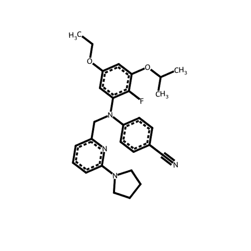 CCOc1cc(OC(C)C)c(F)c(N(Cc2cccc(N3CCCC3)n2)c2ccc(C#N)cc2)c1